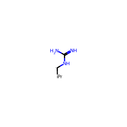 CC(C)[CH]NC(=N)N